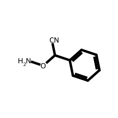 N#CC(ON)c1ccccc1